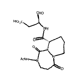 CC(=O)NN1CCC(=O)N2CCC[C@@H](C(=O)N[C@H](C=O)CC(=O)O)N2C1=O